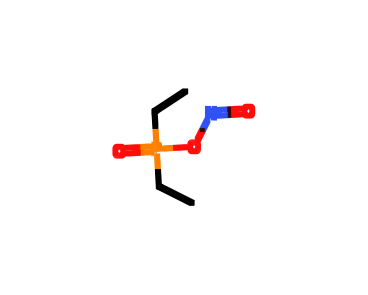 CCP(=O)(CC)ON=O